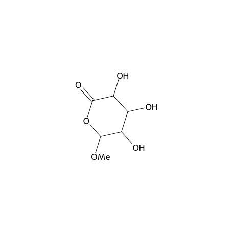 COC1OC(=O)C(O)C(O)C1O